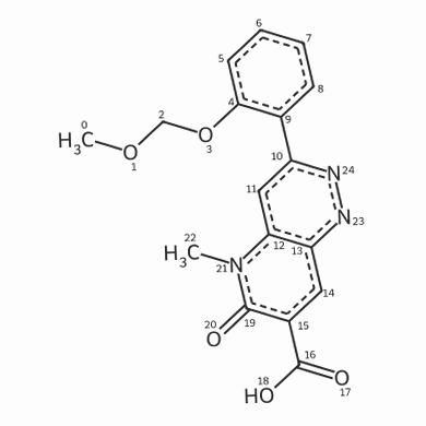 COCOc1ccccc1-c1cc2c(cc(C(=O)O)c(=O)n2C)nn1